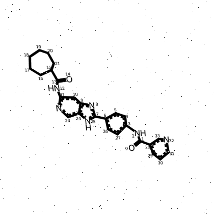 O=C(Nc1ccc(-c2nc3cc(NC(=O)C4CCCCCC4)ncc3[nH]2)cc1)c1cccnc1